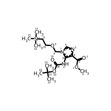 COC(=O)c1ncn(COCC[Si](C)(C)C)c1NC(=O)OC(C)(C)C